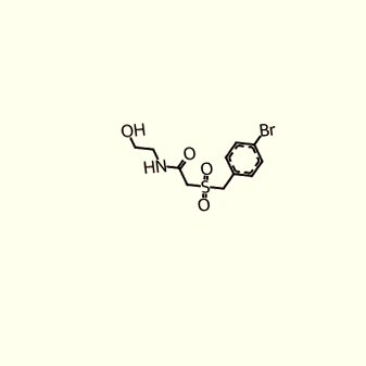 O=C(CS(=O)(=O)Cc1ccc(Br)cc1)NCCO